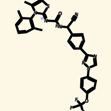 Cc1cccc(C)c1-n1c(C)cs/c1=N\C(=O)NC(C#N)c1ccc(-c2ncn(-c3ccc(OC(F)(F)F)cc3)n2)cc1